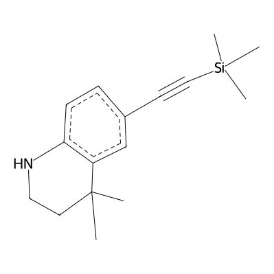 CC1(C)CCNc2ccc(C#C[Si](C)(C)C)cc21